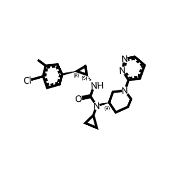 Cc1cc([C@H]2C[C@@H]2NC(=O)N(C2CC2)[C@@H]2CCCN(c3cccnn3)C2)ccc1Cl